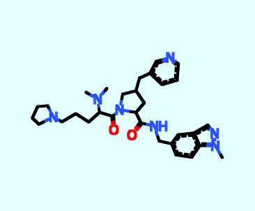 CN(C)C(CCCN1CCCC1)C(=O)N1CC(Cc2cccnc2)CC1C(=O)NCc1ccc2c(cnn2C)c1